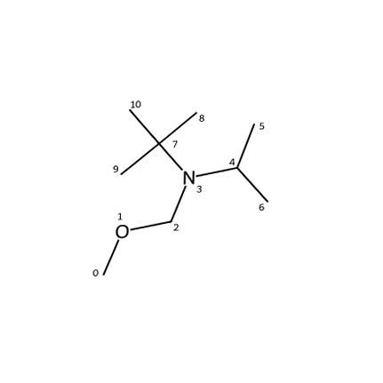 COCN(C(C)C)C(C)(C)C